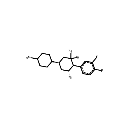 [2H][C@@H]1C[C@@H](C2CCC(CCC)CC2)CC([2H])([2H])C1c1ccc(F)c(F)c1